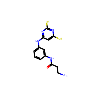 NCCC(=O)Nc1cccc(Nc2cc(S)nc(S)n2)c1